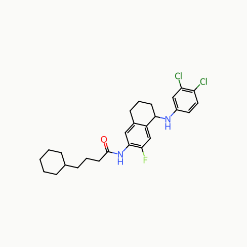 O=C(CCCC1CCCCC1)Nc1cc2c(cc1F)C(Nc1ccc(Cl)c(Cl)c1)CCC2